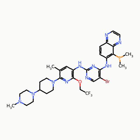 Cc1cc(Nc2ncc(Br)c(Nc3ccc4nccnc4c3P(C)C)n2)c(OCC(F)(F)F)nc1N1CCC(N2CCN(C)CC2)CC1